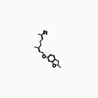 CCC(C)=CCCC(C)=CCOc1ccc2c(c1)OC(C)C2